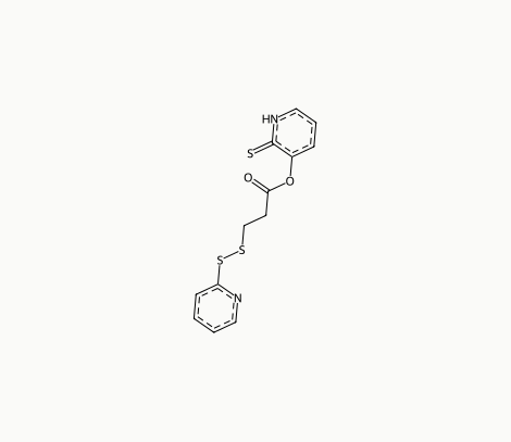 O=C(CCSSc1ccccn1)Oc1ccc[nH]c1=S